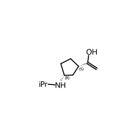 C=C(O)[C@H]1CC[C@@H](NC(C)C)C1